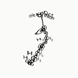 CCCCCCCCCC1C(CCCCCCCCN2C(=O)c3ccc(Oc4ccc(C(C)(C)c5ccc(Oc6ccc7c(c6)C(=O)N(c6ccc(C(C)(C)c8ccc(C(C)(C)c9ccc(N%10C(=O)C=CC%10=O)cc9)cc8)cc6)C7=O)cc5)cc4)cc3C2=O)CCC(CCCCCC)C1CCCCCCCC